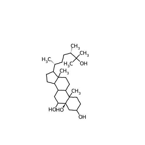 C[C@H](CC[C@H](C)C(C)(C)O)C1CCC2C3CC(O)[C@@]4(O)CC(O)CCC4(C)C3CCC21C